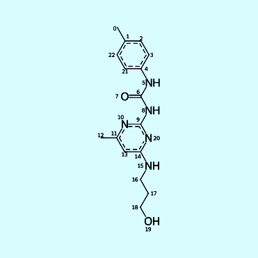 Cc1ccc(NC(=O)Nc2nc(C)cc(NCCCO)n2)cc1